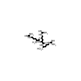 N=C(N)NCCCC(N)C(=O)NC(CCCNC(=N)N)C(=O)NC(CCCNC(=N)N)C(=O)O